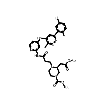 COC(=O)CC1CN(C(=O)OC(C)(C)C)CCN1CCC(=O)Nc1cc(Nc2cc(-c3cc(Cl)ccc3F)nnc2C)ccn1